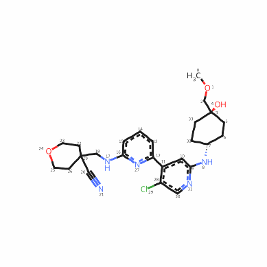 COC[C@]1(O)CC[C@H](Nc2cc(-c3cccc(NCC4(C#N)CCOCC4)n3)c(Cl)cn2)CC1